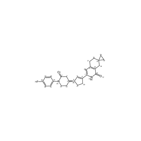 O=C1CN([C@H]2C=C(c3nc4c(c(=O)[nH]3)CC3(CC4)CC3)CC2)CCN1c1ccc(F)cc1